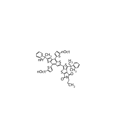 C=CCN1C(=O)c2sc3c(-c4cc5c(-c6ccc(CCCCCCCC)s6)c6sc(C(C)(CCC)c7ccccc7)cc6c(-c6ccc(CCCCCCCC)s6)c5s4)sc(C(C)(C)c4ccccc4)c3c2C1=O